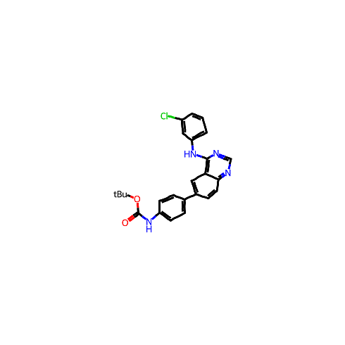 CC(C)(C)OC(=O)Nc1ccc(-c2ccc3ncnc(Nc4cccc(Cl)c4)c3c2)cc1